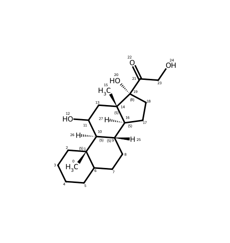 C[C@]12CCCCC1CC[C@@H]1[C@@H]2C(O)C[C@@]2(C)[C@H]1CC[C@]2(O)C(=O)CO